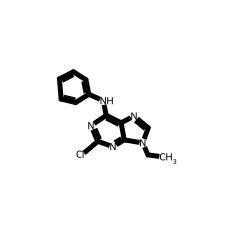 CCn1cnc2c(Nc3ccccc3)nc(Cl)nc21